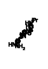 CC(C)CNC1CCN(C(C)C(=O)Nc2ccc3c(c2)nc(CCc2ccc(C(=N)N)cc2)n3C)CC1